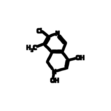 Cc1c(Cl)ncc2c1CN(O)C=C2O